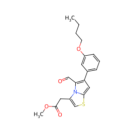 CCCCOc1cccc(-c2cc3scc(CC(=O)OC)n3c2C=O)c1